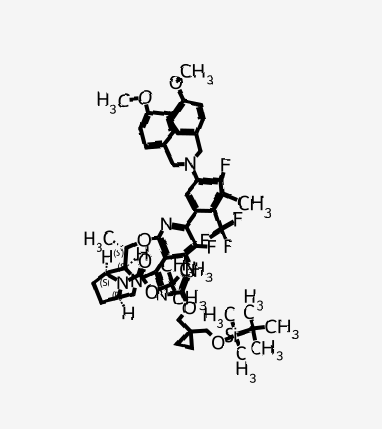 COc1ccc(CN(Cc2ccc(OC)cc2)c2cc(-c3nc4c5c(nc(OCC6(CO[Si](C)(C)C(C)(C)C)CC6)nc5c3F)N3C[C@H]5CC[C@@H]([C@H]3[C@H](C)O4)N5C(=O)OC(C)(C)C)c(C(F)(F)F)c(C)c2F)cc1